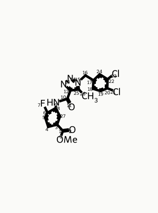 COC(=O)c1ccc(F)c(NC(=O)c2nnn(Cc3ccc(Cl)c(Cl)c3)c2C)c1